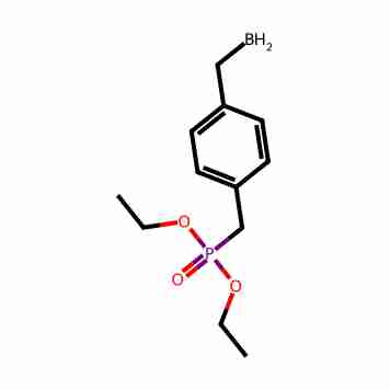 BCc1ccc(CP(=O)(OCC)OCC)cc1